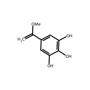 C=C(OC)c1cc(O)c(O)c(O)c1